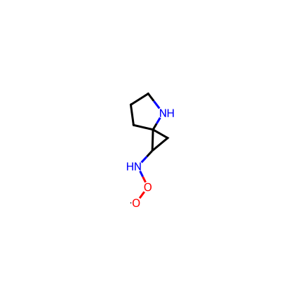 [O]ONC1CC12CCCN2